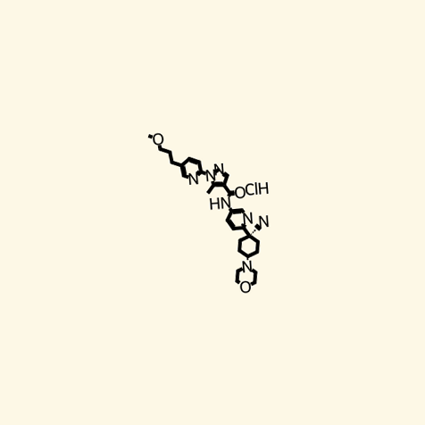 COCCCc1ccc(-n2ncc(C(=O)Nc3ccc([C@]4(C#N)CC[C@@H](N5CCOCC5)CC4)nc3)c2C)nc1.Cl